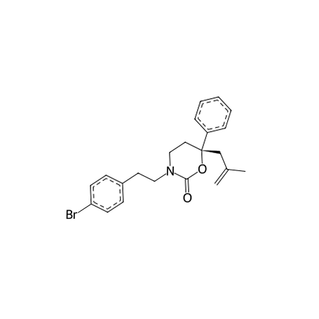 C=C(C)C[C@]1(c2ccccc2)CCN(CCc2ccc(Br)cc2)C(=O)O1